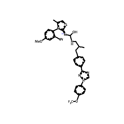 COc1ccc(-n2c(C)cs/c2=N\C(O)NCC(C)Cc2ccc(-c3ncn(-c4ccc(OC(F)(F)F)cc4)n3)cc2)c(C(C)C)c1